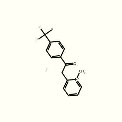 C[n+]1ccccc1CC(=O)c1ccc(C(F)(F)F)cc1.[I-]